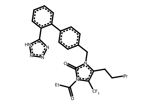 CCC(=O)n1c(C(F)(F)F)c(CCC(C)C)n(Cc2ccc(-c3ccccc3-c3nnn[nH]3)cc2)c1=O